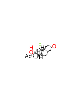 CC(=O)[C@@]1(O)CC[C@H]2[C@@H]3C=CC4=CC(=O)C=C[C@]4(C)[C@H]3C(F)C[C@@]21C